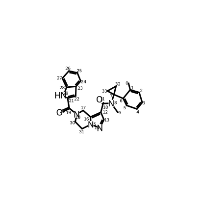 Cc1ccccc1C1(N(C)C(=O)c2cnn3c2CN(C(=O)c2cc4ccccc4[nH]2)CC3)CC1